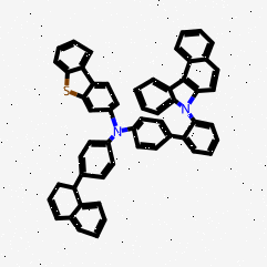 C1=Cc2ccccc2C(c2ccc(N(c3ccc(-c4ccccc4-n4c5ccccc5c5c6ccccc6ccc54)cc3)c3ccc4c(c3)sc3ccccc34)cc2)C1